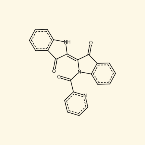 O=C1/C(=C2/C(=O)c3ccccc3N2C(=O)c2ccccn2)Nc2ccccc21